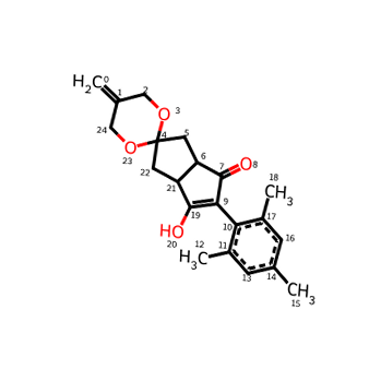 C=C1COC2(CC3C(=O)C(c4c(C)cc(C)cc4C)=C(O)C3C2)OC1